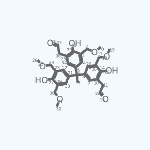 COCc1cc(C(C)(c2cc(CC=O)c(O)c(COC)c2)c2cc(COC)c(O)c(COC)c2)cc(CC=O)c1O